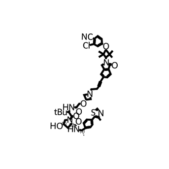 Cc1ncsc1-c1ccc([C@H](C)NC(=O)[C@@H]2C[C@@H](O)CN2C(=O)C(NC(=O)COC2CN(CCC#Cc3ccc4c(c3)CN(C3C(C)(C)C(Oc5ccc(C#N)c(Cl)c5)C3(C)C)C4=O)C2)C(C)(C)C)cc1